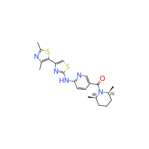 Cc1nc(C)c(-c2csc(Nc3ccc(C(=O)N4[C@H](C)CCC[C@@H]4C)cn3)n2)s1